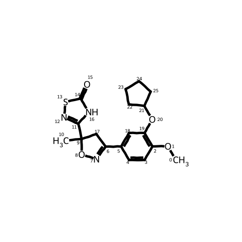 COc1ccc(C2=NOC(C)(c3nsc(=O)[nH]3)C2)cc1OC1CCCC1